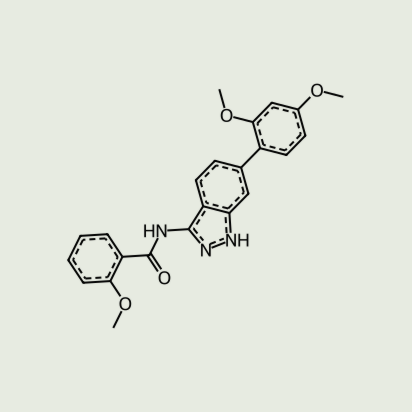 COc1ccc(-c2ccc3c(NC(=O)c4ccccc4OC)n[nH]c3c2)c(OC)c1